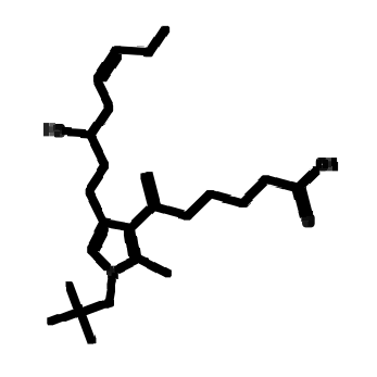 C=C(CCCCC(=O)O)c1c(CCC(O)C/C=C\CC)cn(CC(C)(C)C)c1C